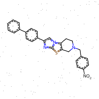 O=[N+]([O-])c1ccc(CN2CCc3c(sc4nc(-c5ccc(-c6ccccc6)cc5)cn34)C2)cc1